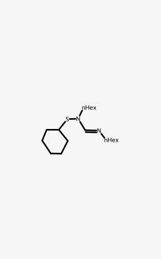 CCCCCCN=CN(CCCCCC)SC1CCCCC1